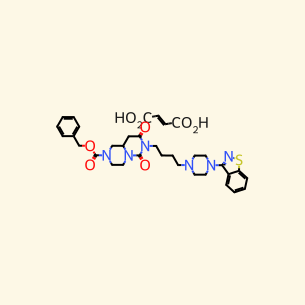 O=C(O)/C=C/C(=O)O.O=C(OCc1ccccc1)N1CCN2C(=O)N(CCCCN3CCN(c4nsc5ccccc45)CC3)C(=O)CC2C1